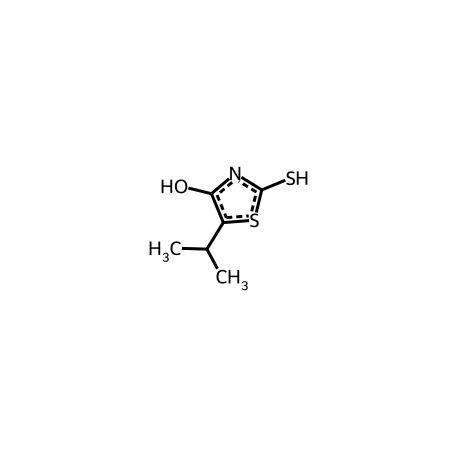 CC(C)c1sc(S)nc1O